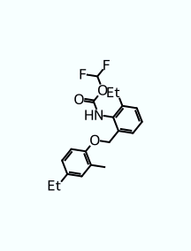 CCc1ccc(OCc2cccc(CC)c2NC(=O)OC(F)F)c(C)c1